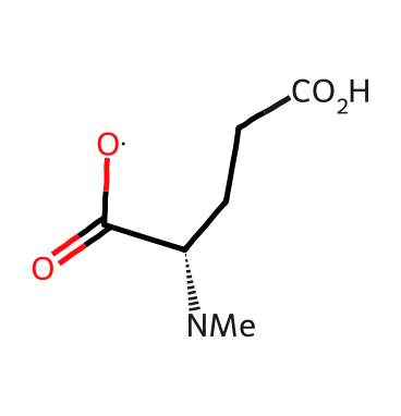 CN[C@@H](CCC(=O)O)C([O])=O